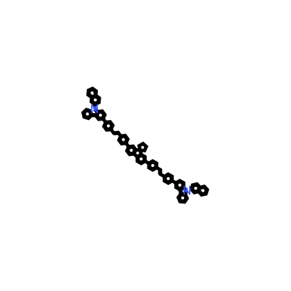 C(=C\c1ccc(-c2ccc3c(c2)c2ccccc2n3-c2ccc3ccccc3c2)cc1)/c1ccc(-c2ccc3c(c2)C2(CCCC2)c2cc(-c4ccc(/C=C/c5ccc(-c6ccc7c(c6)c6ccccc6n7-c6ccc7ccccc7c6)cc5)cc4)ccc2-3)cc1